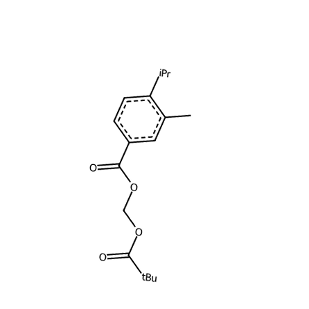 Cc1cc(C(=O)OCOC(=O)C(C)(C)C)ccc1C(C)C